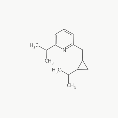 CC(C)c1cccc(CC2CC2C(C)C)n1